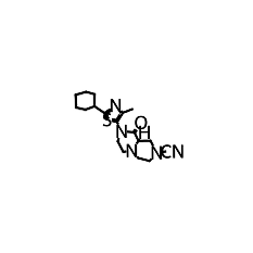 Cc1nc(C2CCCCC2)sc1N1CCN2CCN(C#N)C[C@@H]2C1=O